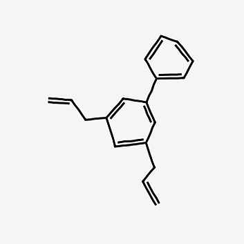 C=CCc1cc(CC=C)cc(-c2ccccc2)c1